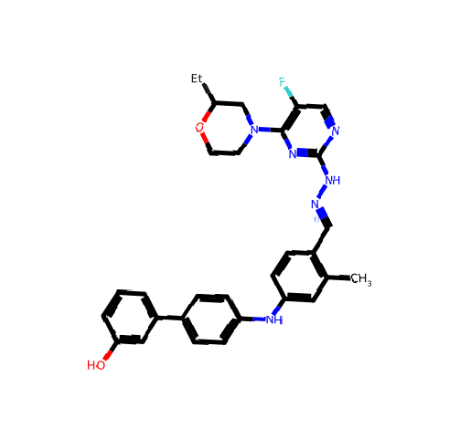 CCC1CN(c2nc(N/N=C/c3ccc(Nc4ccc(-c5cccc(O)c5)cc4)cc3C)ncc2F)CCO1